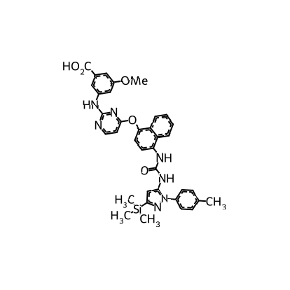 COc1cc(Nc2nccc(Oc3ccc(NC(=O)Nc4cc([Si](C)(C)C)nn4-c4ccc(C)cc4)c4ccccc34)n2)cc(C(=O)O)c1